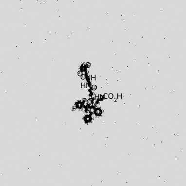 O=C(O)NCCCN(C(=O)CSCCC(=O)NCCNC(=O)CN1C(=O)C=CC1=O)[C@@H](c1cc(-c2cc(F)ccc2F)cn1Cc1ccccc1)C1CCCCC1